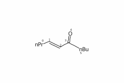 CCCC=CC(=O)CCCC